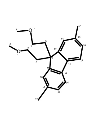 COCCC1(CCOC)c2cc(C)ccc2-c2ccc(C)cc21